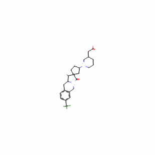 CC1C2Cc3ccc(C(F)(F)F)cc3CN2C(=O)C12CCC(N1CCCC(CC(=O)O)C1)C2